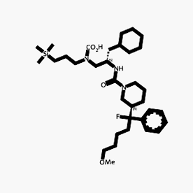 COCCCCC(F)(c1ccccc1)[C@@H]1CCCN(C(=O)N[C@@H](CC2CCCCC2)CN(CCC[Si](C)(C)C)C(=O)O)C1